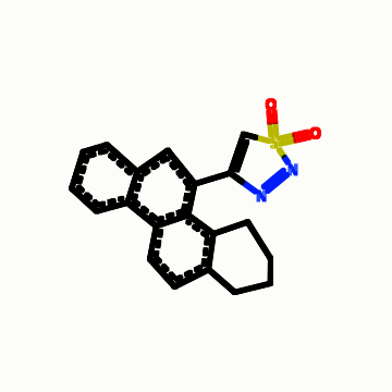 O=S1(=O)C=C(c2cc3ccccc3c3ccc4c(c23)CCCC4)N=N1